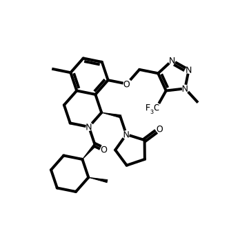 Cc1ccc(OCc2nnn(C)c2C(F)(F)F)c2c1CCN(C(=O)[C@@H]1CCCC[C@@H]1C)[C@@H]2CN1CCCC1=O